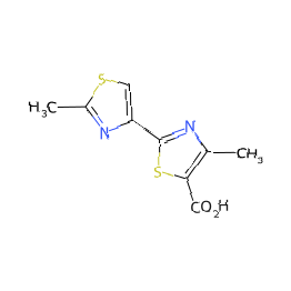 Cc1nc(-c2nc(C)c(C(=O)O)s2)cs1